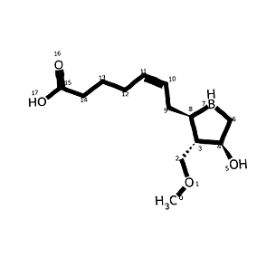 COC[C@H]1[C@H](O)CB[C@@H]1C/C=C\CCCC(=O)O